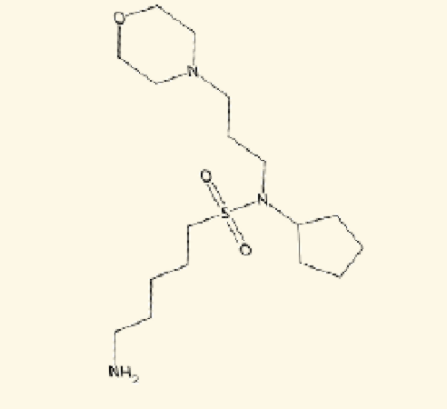 NCCCCCS(=O)(=O)N(CCCN1CCOCC1)C1CCCC1